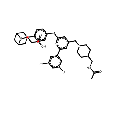 CC(=O)NCC1CCN(Cc2cc(Oc3ccc(N4CC5CC(C4)N5CCC(=O)O)nc3)nc(-c3cc(Cl)cc(Cl)c3)c2)CC1